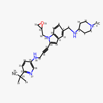 CC(=O)N1CCC(NCc2ccc3c(c2)cc(C#CCNc2ccc(C(C)(C)C#N)nc2)n3CC2CO2)CC1